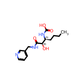 CCCC[C@H](NC(=O)O)[C@@H](O)C(=O)NCc1cccnc1